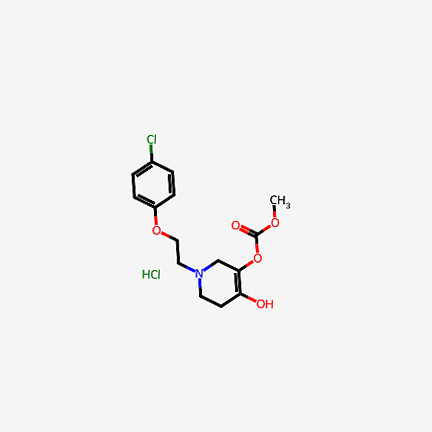 COC(=O)OC1=C(O)CCN(CCOc2ccc(Cl)cc2)C1.Cl